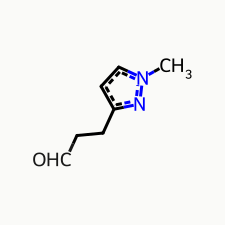 Cn1ccc(CCC=O)n1